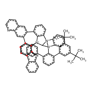 CC(C)(C)c1cc(-c2cccc(-c3ccccc3)c2[N+]23c4ccccc4[N+]24c2cccc5c2[N+]2(c6c(ccc7c8ccccc8n(c67)-c6cccc[n+]62)-c2cc6ncccc6cc2-5)C43)cc(C(C)(C)C)c1